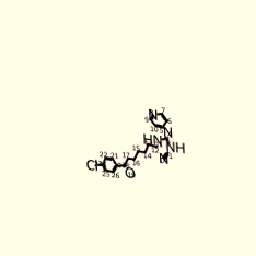 N#CN/C(=N/c1ccncc1)NCCCCCCC(=O)c1ccc(Cl)cc1